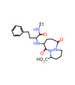 CCNC(=O)C(CCc1ccccc1)NC1CCC(=O)N2CCCC(C(=O)O)N2C1=O